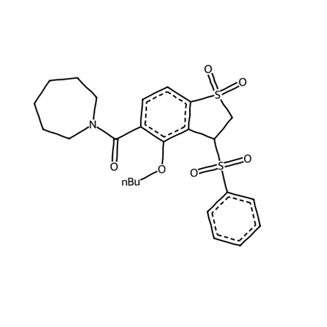 CCCCOc1c(C(=O)N2CCCCCC2)ccc2c1C(S(=O)(=O)c1ccccc1)CS2(=O)=O